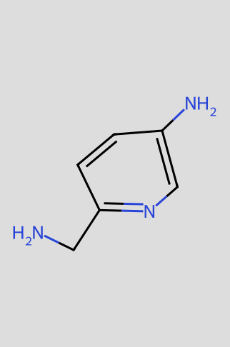 NCc1ccc(N)cn1